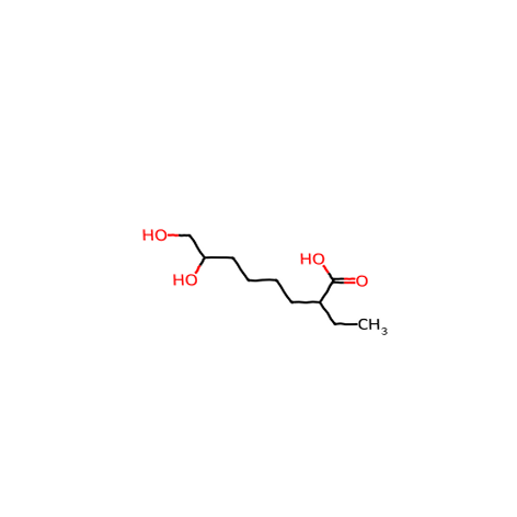 CCC(CCCCC(O)CO)C(=O)O